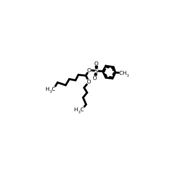 CCCCCCC(OCCCCC)OS(=O)(=O)c1ccc(C)cc1